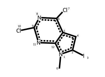 Cn1c(I)cc2c(Cl)nc(Cl)nc21